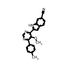 COc1c(-c2ccc(C)cc2)ncnc1-c1cc2ccc(C#N)cc2[nH]1